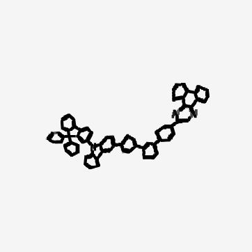 c1ccc(C2(c3ccccc3)c3ccccc3-c3ccc(-n4c5ccccc5c5cc(-c6ccc(-c7cccc(-c8ccc(-c9cnc%10c%11ccccc%11c%11ccccc%11c%10n9)cc8)c7)cc6)ccc54)cc32)cc1